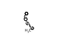 C[C@@H]1CCCN1CCN1CCN(C2CCN(Cc3ccccc3)CC2)C1